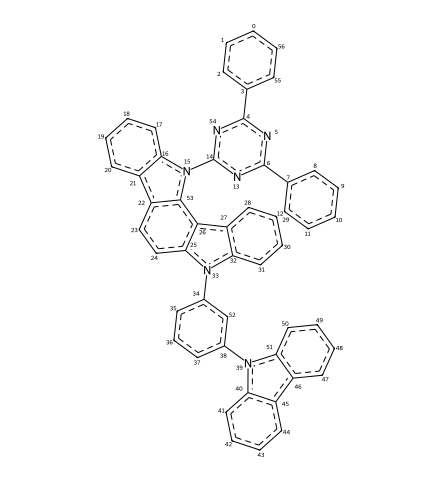 c1ccc(-c2nc(-c3ccccc3)nc(-n3c4ccccc4c4ccc5c(c6ccccc6n5-c5cccc(-n6c7ccccc7c7ccccc76)c5)c43)n2)cc1